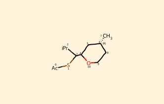 CC(=O)SC(C(C)C)C1C[C@H](C)CCO1